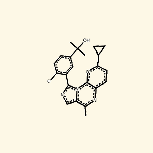 Cc1nc2ccc(C3CC3)nc2n2c(-c3cc(C(C)(C)O)ccc3Cl)ncc12